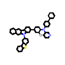 CC1C=C(c2ccc3c4cc5ccccc5cc4n(-c4ccc5sc6ccccc6c5c4)c3c2)C=CC1N(c1ccc(C2=CC=CCC2)cc1)c1cccnc1